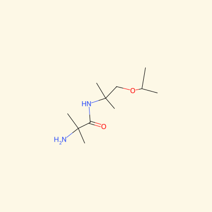 CC(C)OCC(C)(C)NC(=O)C(C)(C)N